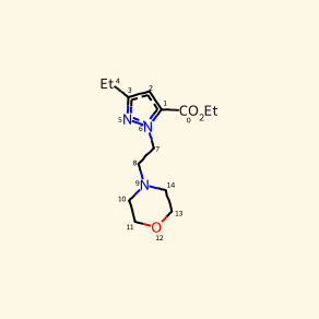 CCOC(=O)c1cc(CC)nn1CCN1CCOCC1